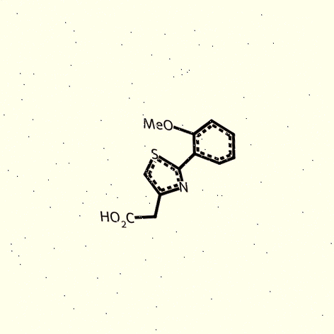 COc1ccccc1-c1nc(CC(=O)O)cs1